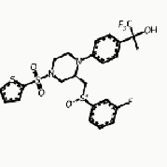 C[C@@](O)(c1ccc(N2CCN(S(=O)(=O)c3cccs3)C[C@@H]2C[S+]([O-])c2cccc(F)c2)cc1)C(F)(F)F